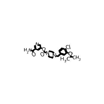 CC(C)Oc1cc(CN2CCN(C(=O)Oc3cncc(C(N)=O)c3)CC2)ccc1Cl